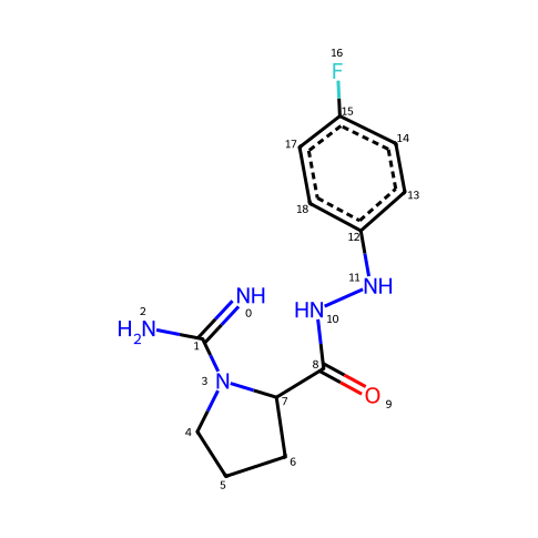 N=C(N)N1CCCC1C(=O)NNc1ccc(F)cc1